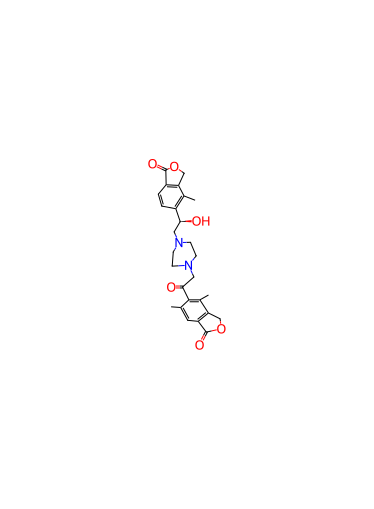 Cc1cc2c(c(C)c1C(=O)CN1CCN(C[C@H](O)c3ccc4c(c3C)COC4=O)CC1)COC2=O